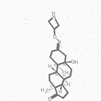 C[C@]12CC[C@H]3[C@@H](CC[C@@]4(O)C/C(=N/OC5CNC5)CC[C@]34C)[C@@H]1CCC2=O